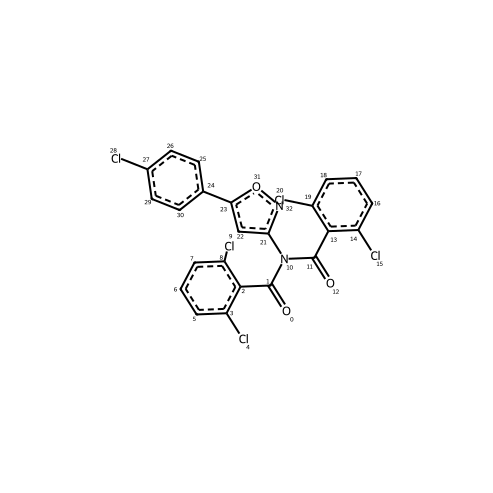 O=C(c1c(Cl)cccc1Cl)N(C(=O)c1c(Cl)cccc1Cl)c1cc(-c2ccc(Cl)cc2)on1